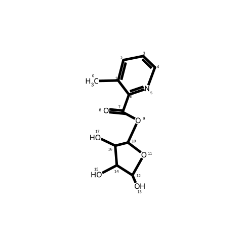 Cc1cccnc1C(=O)OC1OC(O)C(O)C1O